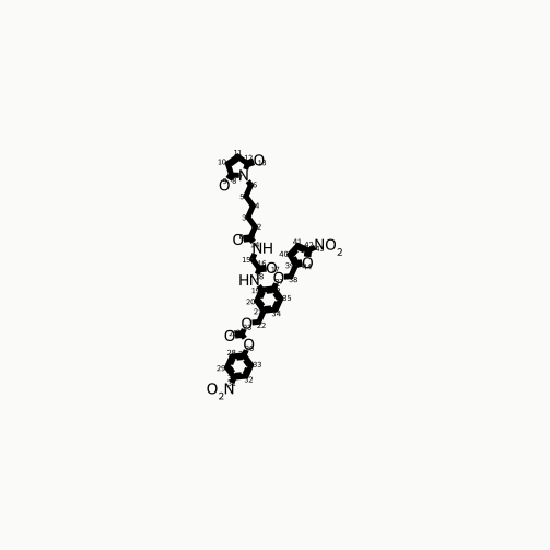 O=C(CCCCCN1C(=O)C=CC1=O)NCC(=O)Nc1cc(COC(=O)Oc2ccc([N+](=O)[O-])cc2)ccc1OCc1ccc([N+](=O)[O-])o1